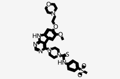 COc1cc2c(cc1OCCN1CCOCC1)[nH]c1ncnc(N3CCN(C(=S)Nc4ccc(S(C)(=O)=O)cc4)CC3)c12